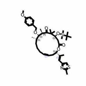 COc1ccc(CO[C@H]2[C@@H](C)CCC/C=C\C[C@@H](/C(C)=C/c3csc(C)n3)OC(=O)C[C@H](O[Si](C)(C)C(C)(C)C)C(C)(C)C(=O)[C@@H]2C)cc1